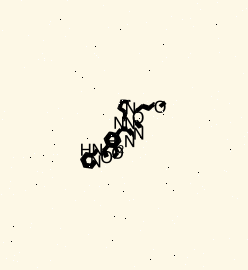 COC/C=C/C(=O)N1CCCC1c1nc(-c2ccc(C(=O)Nc3ccccn3)c(OC)c2)c2c(N)nccn12